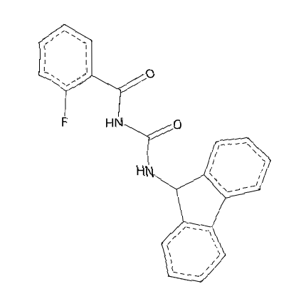 O=C(NC(=O)c1ccccc1F)NC1c2ccccc2-c2ccccc21